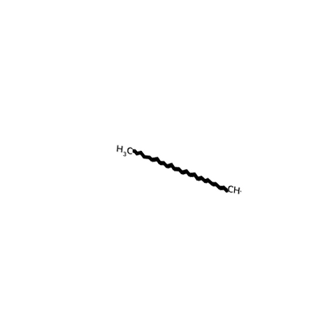 [CH]=CC=CC=CC=CC=CC=CC=CC=CC=CC=CC=CCCCCCC